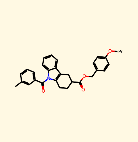 Cc1cccc(C(=O)n2c3c(c4ccccc42)CC(C(=O)OCc2ccc(OC(C)C)cc2)CC3)c1